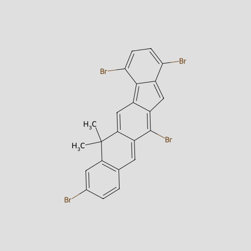 CC1(C)c2cc(Br)ccc2C=c2c1cc1c(c2Br)C=c2c(Br)ccc(Br)c2=1